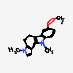 COc1ccc2c(c1)c1c(n2C)-c2ccn(C)c2CC1